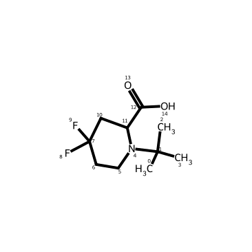 CC(C)(C)N1CCC(F)(F)CC1C(=O)O